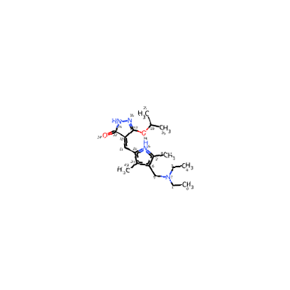 CCN(CC)Cc1c(C)[nH]c(C=C2C(=O)NN=C2OC(C)C)c1C